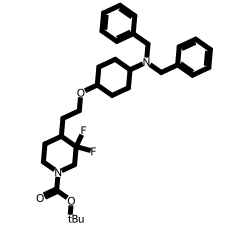 CC(C)(C)OC(=O)N1CCC(CCOC2CCC(N(Cc3ccccc3)Cc3ccccc3)CC2)C(F)(F)C1